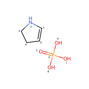 C1=CNCC1.O=P(O)(O)O